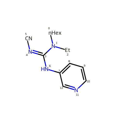 CCCCCCN(CC)C(=NC#N)Nc1cccnc1